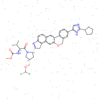 COC(=O)N[C@H](C(=O)N1C[C@@H](COC(F)F)C[C@H]1C1=Nc2ccc3cc4c(cc3c2C1)OCc1cc(-c2cnc(C3CCCC3)[nH]2)ccc1-4)C(C)C